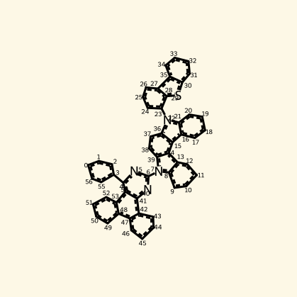 c1ccc(-c2nc(-n3c4ccccc4c4c5c6ccccc6n(-c6cccc7c6sc6ccccc67)c5ccc43)nc3c4ccccc4c4ccccc4c23)cc1